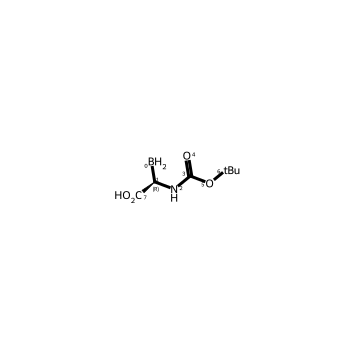 B[C@@H](NC(=O)OC(C)(C)C)C(=O)O